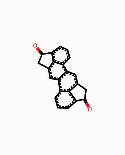 O=C1Cc2cc3c4cccc5c4c(cc3c3cccc1c23)CC5=O